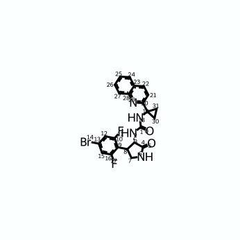 O=C(N[C@@H]1C(=O)NCC1c1c(F)cc(Br)cc1F)NC1(c2ccc3ccccc3n2)CC1